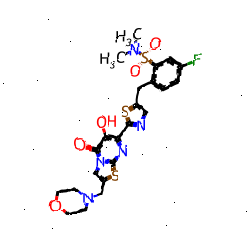 CN(C)S(=O)(=O)c1cc(F)ccc1Cc1cnc(-c2nc3sc(CN4CCOCC4)cn3c(=O)c2O)s1